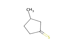 CC1CCC(=S)C1